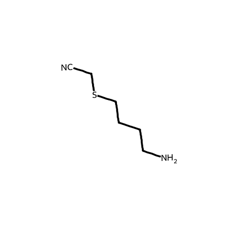 N#CCSCCCCN